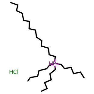 CCCCCCCCCCCCCC[PH](CCCCCC)(CCCCCC)CCCCCC.Cl